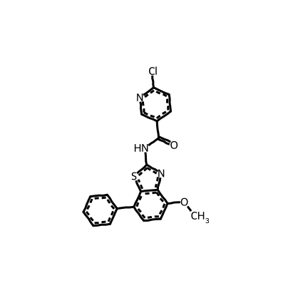 COc1ccc(-c2ccccc2)c2sc(NC(=O)c3ccc(Cl)nc3)nc12